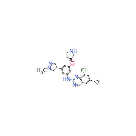 CN1CC(c2cc(Nc3ncc4cc(C5CC5)cc(Cl)c4n3)cc(O[C@H]3CCNC3)c2)C=N1